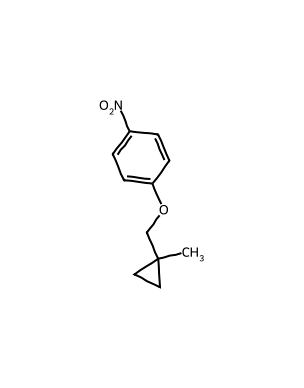 CC1(COc2ccc([N+](=O)[O-])cc2)CC1